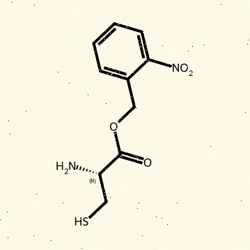 N[C@@H](CS)C(=O)OCc1ccccc1[N+](=O)[O-]